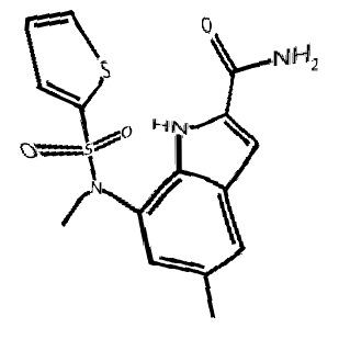 Cc1cc(N(C)S(=O)(=O)c2cccs2)c2[nH]c(C(N)=O)cc2c1